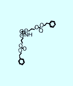 [NH]P(=O)(OCCCOC(=O)OCCc1ccccc1)OCCCOC(=O)OCCc1ccccc1